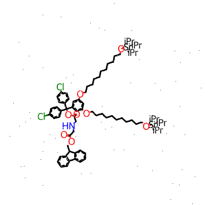 CC(C)[Si](OCCCCCCCCCCCOc1cc(OCCCCCCCCCCCO[Si](C(C)C)(C(C)C)C(C)C)cc(C(OC(=O)CNCC(=O)OCC2c3ccccc3-c3ccccc32)(c2ccc(Cl)cc2)c2ccc(Cl)cc2)c1)(C(C)C)C(C)C